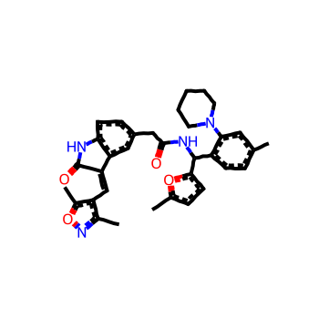 Cc1ccc(C(NC(=O)Cc2ccc3c(c2)C(=Cc2c(C)noc2C)C(=O)N3)c2ccc(C)o2)c(N2CCCCC2)c1